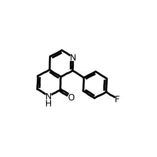 O=c1[nH]ccc2ccnc(-c3ccc(F)cc3)c12